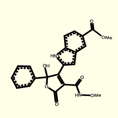 CONC(=O)C1=C(c2cc3cc(C(=O)OC)ccc3[nH]2)C(O)(c2ccccc2)OC1=O